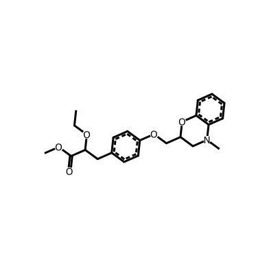 CCOC(Cc1ccc(OCC2CN(C)c3ccccc3O2)cc1)C(=O)OC